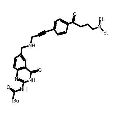 CCN(CC)CCCC(=O)c1ccc(C#CCNCc2ccc3nc(NC(=O)C(C)(C)C)[nH]c(=O)c3c2)cc1